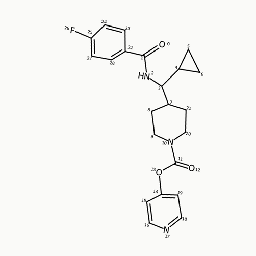 O=C(NC(C1CC1)C1CCN(C(=O)Oc2ccncc2)CC1)c1ccc(F)cc1